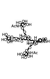 CNP(=O)(S)OC1CCC(C(=O)NC(CCC(=O)NC(CCC(=O)NCCOCCOC2OC(CO)C(O)C(O)C2NC(C)=O)C(=O)NCCOCCOC2OC(CO)C(O)C(O)C2NC(C)=O)C(=O)NCCOCCOC2OC(CO)C(O)C(O)C2NC(C)=O)CC1